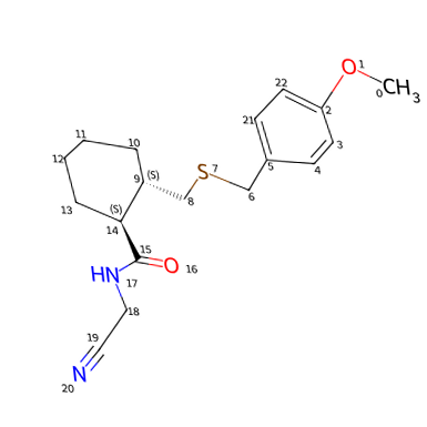 COc1ccc(CSC[C@H]2CCCC[C@@H]2C(=O)NCC#N)cc1